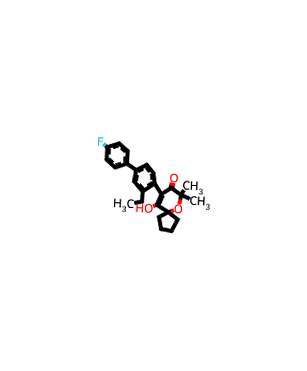 CCc1cc(-c2ccc(F)cc2)ccc1C1=C(O)C2(CCCC2)OC(C)(C)C1=O